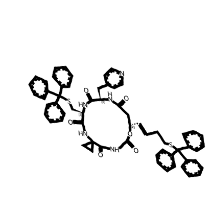 O=C1C[C@H](C=CCCSC(c2ccccc2)(c2ccccc2)c2ccccc2)OC(=O)CNC(=O)C2(CC2)NC(=O)[C@@H](CSC(c2ccccc2)(c2ccccc2)c2ccccc2)NC(=O)[C@@H](Cc2ccncc2)N1